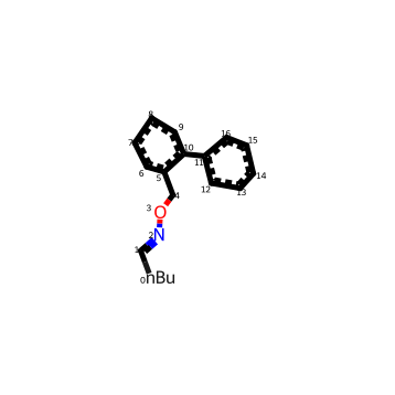 CCCCC=NOCc1ccccc1-c1ccccc1